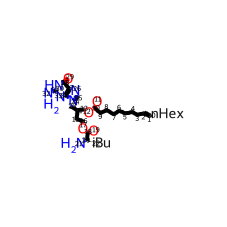 CCCCCCC=CCCCCCCCC(=O)OCC(CCOC(=O)[C@@H](N)[C@@H](C)CC)Cn1cnc2c(=O)[nH]c(N)nc21